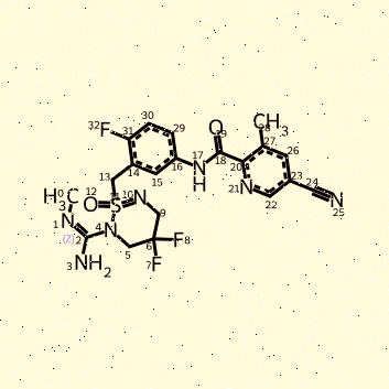 C/N=C(/N)N1CC(F)(F)CN=S1(=O)Cc1cc(NC(=O)c2ncc(C#N)cc2C)ccc1F